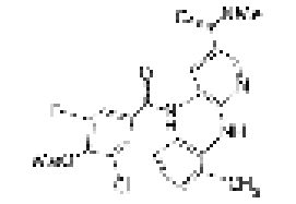 CNC(=O)c1cnc(Nc2ccccc2C)c(NC(=O)c2cc(F)c(OC)c(Cl)c2)c1